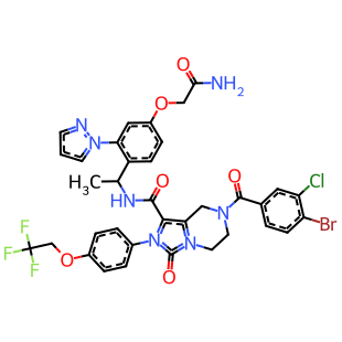 CC(NC(=O)c1c2n(c(=O)n1-c1ccc(OCC(F)(F)F)cc1)CCN(C(=O)c1ccc(Br)c(Cl)c1)C2)c1ccc(OCC(N)=O)cc1-n1cccn1